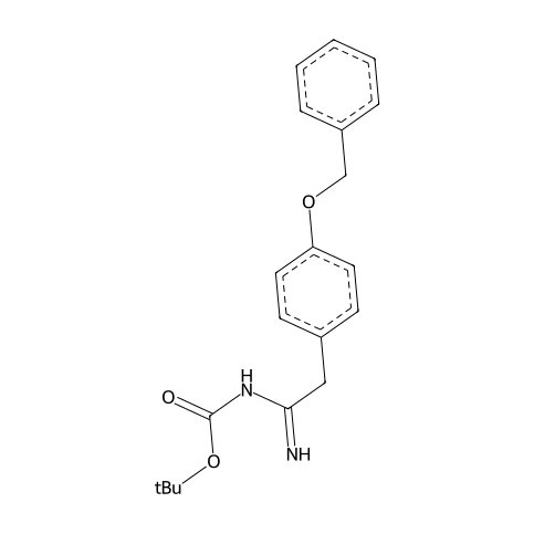 CC(C)(C)OC(=O)NC(=N)Cc1ccc(OCc2ccccc2)cc1